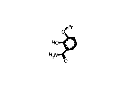 CC(C)Oc1cccc(C(N)=O)c1O